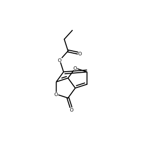 CCC(=O)Oc1c2c3oc1cc3C(=O)O2